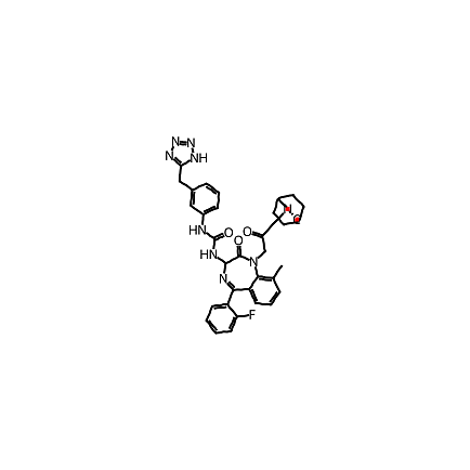 Cc1cccc2c1N(CC(=O)N1CC3CCC(CC3)C1)C(=O)C(NC(=O)Nc1cccc(Cc3nnn[nH]3)c1)N=C2c1ccccc1F